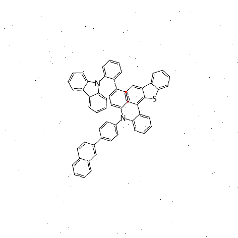 c1ccc(N(c2ccc(-c3ccc4ccccc4c3)cc2)c2ccc(-c3ccccc3-n3c4ccccc4c4ccccc43)cc2)c(-c2cccc3c2sc2ccccc23)c1